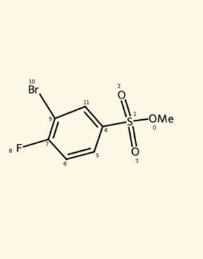 [CH2]OS(=O)(=O)c1ccc(F)c(Br)c1